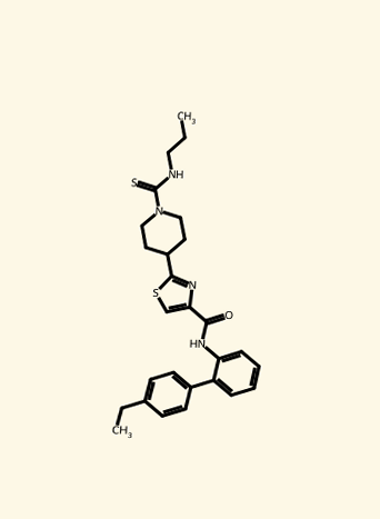 CCCNC(=S)N1CCC(c2nc(C(=O)Nc3ccccc3-c3ccc(CC)cc3)cs2)CC1